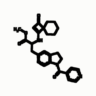 COC(=O)C(Cc1ccc2c(c1)CCN2C(=O)c1ccncc1)NC1=CC(=O)C12CCCCC2